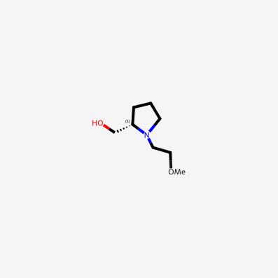 COCCN1CCC[C@H]1CO